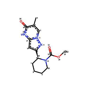 Cc1cn2nc([C@@H]3CCCCN3C(=O)OC(C)(C)C)cc2[nH]c1=O